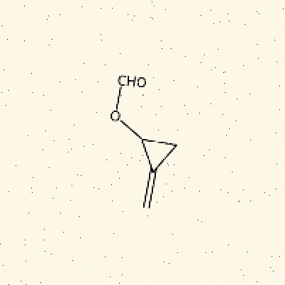 C=C1CC1OC=O